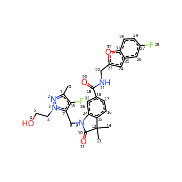 Cc1nn(CCO)c(CN2C(=O)C(C)(C)c3ccc(C(=O)NCc4cc5cc(F)ccc5o4)cc32)c1F